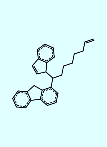 C=CCCCCCC(c1cccc2c1Cc1ccccc1-2)C1[C]=Cc2ccccc21